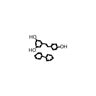 Oc1ccc(/C=C/c2cc(O)cc(O)c2)cc1.c1ccc(-c2ccccc2)cc1